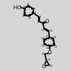 O=C(/C=C/c1ccc(O)cc1)/C=C/c1ccc(OCC2CO2)cc1